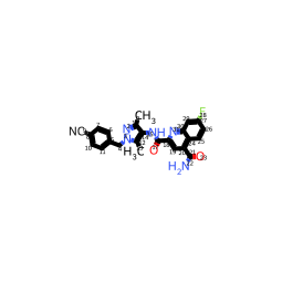 Cc1nn(Cc2ccc(C#N)cc2)c(C)c1NC(=O)c1cc(C(N)=O)c2ccc(F)cc2n1